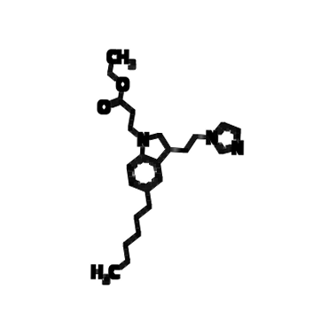 CCCCCCc1ccc2c(c1)C(CCn1ccnc1)CN2CCC(=O)OCC